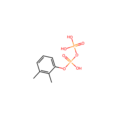 Cc1cccc(OP(=O)(O)OP(=O)(O)O)c1C